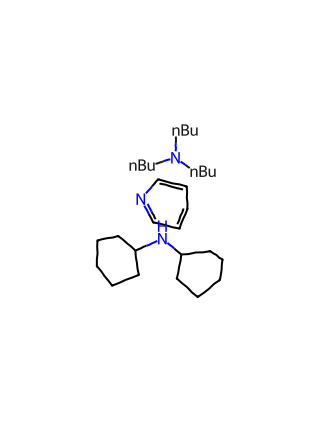 C1CCC(NC2CCCCC2)CC1.CCCCN(CCCC)CCCC.c1ccncc1